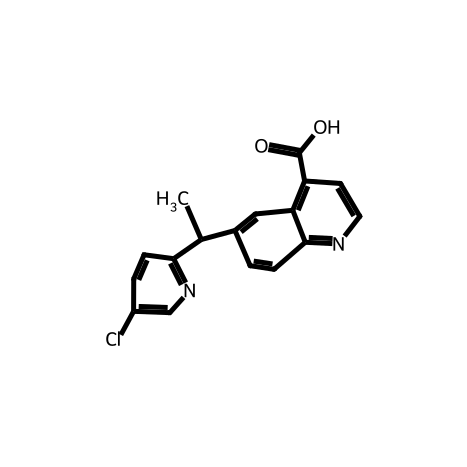 CC(c1ccc2nccc(C(=O)O)c2c1)c1ccc(Cl)cn1